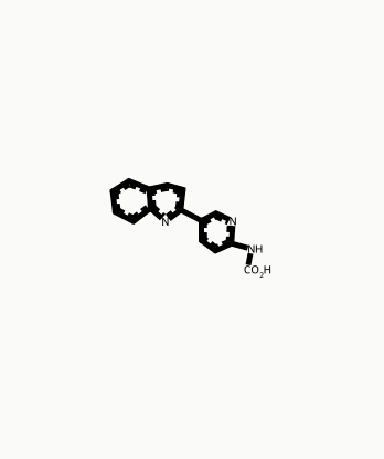 O=C(O)Nc1ccc(-c2ccc3ccccc3n2)cn1